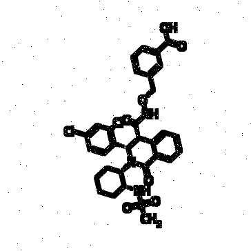 CS(=O)(=O)N[C@@H]1CCCC[C@H]1N1C(=O)c2ccccc2[C@H](C(=O)NOCc2cccc(C(=O)O)c2)[C@H]1c1ccc(Cl)cc1Cl